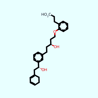 O=C(O)CCc1ccccc1OCC[C@@H](O)CCc1cccc([C@H](O)CC2=CC=CCC2)c1